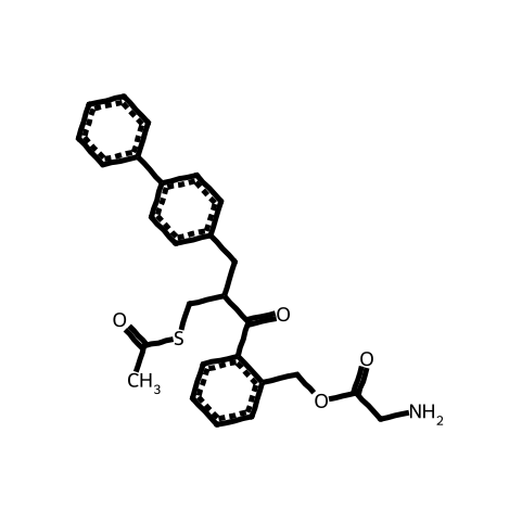 CC(=O)SCC(Cc1ccc(-c2ccccc2)cc1)C(=O)c1ccccc1COC(=O)CN